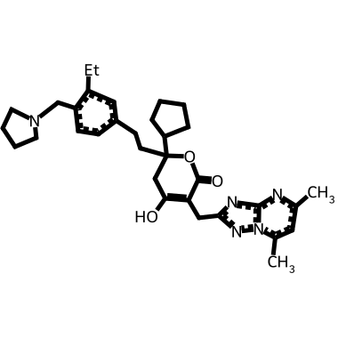 CCc1cc(CCC2(C3CCCC3)CC(O)=C(Cc3nc4nc(C)cc(C)n4n3)C(=O)O2)ccc1CN1CCCC1